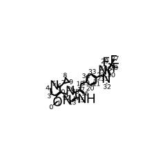 COc1ccnc(C2CC2)c1-c1ncc2[nH]cc(Cc3ccc(-c4nc(C(F)(F)F)cn4C)cc3)c2n1